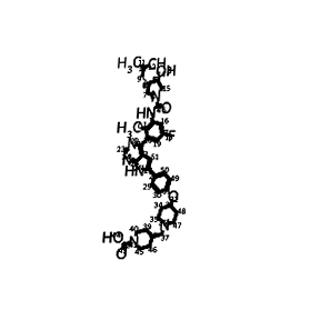 Cc1c(NC(=O)N2C[C@H](CC(C)C)[C@@H](O)C2)cc(F)cc1-c1ncnc2[nH]c(-c3ccc(OC4CCN(CC5CCN(C(=O)O)CC5)CC4)cc3)cc12